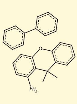 CC1(C)c2ccccc2Oc2cccc(P)c21.c1ccc(-c2ccccc2)cc1